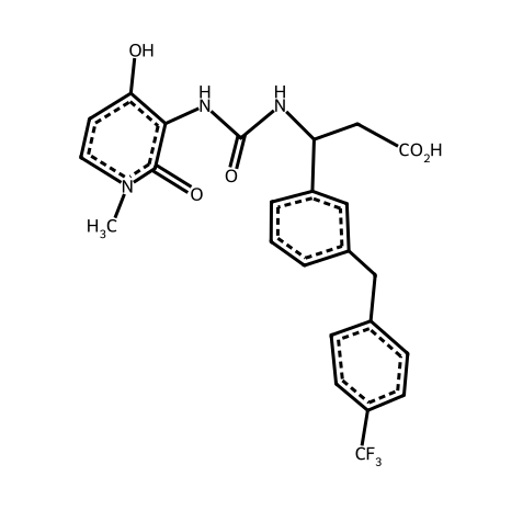 Cn1ccc(O)c(NC(=O)NC(CC(=O)O)c2cccc(Cc3ccc(C(F)(F)F)cc3)c2)c1=O